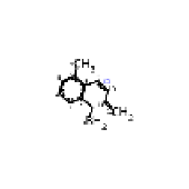 BCc1cccc(C)c1/C=C\C=C